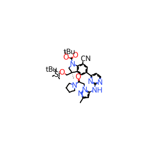 Cc1cc(Nc2nccc(-c3cc(C#N)c4c(c3)[C@@](C)(CO[Si](C)(C)C(C)(C)C)CN4C(=O)OC(C)(C)C)n2)n(CC(=O)N2CCCC2)n1